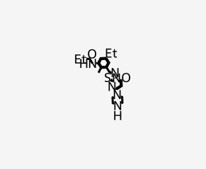 CCC(=O)Nc1cc(CC)cc(-c2nn3c(=O)cc(N4CCNCC4)nc3s2)c1C